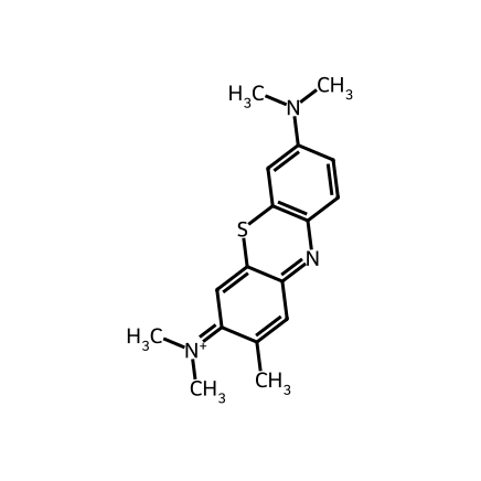 Cc1cc2nc3ccc(N(C)C)cc3sc-2cc1=[N+](C)C